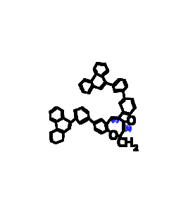 C=C1/C=c2/oc3ccc(-c4cccc(-c5cc6ccccc6c6ccccc56)c4)cc3/c2=C/c2cc(-c3cccc(-c4cc5c(c6ccccc46)C=CCC5)c3)ccc2O1